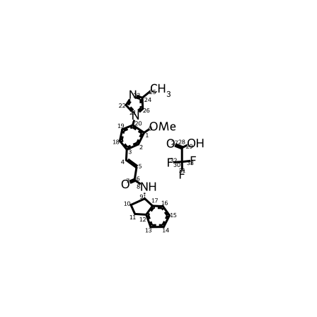 COc1cc(/C=C/C(=O)N[C@H]2CCc3ccccc32)ccc1-n1cnc(C)c1.O=C(O)C(F)(F)F